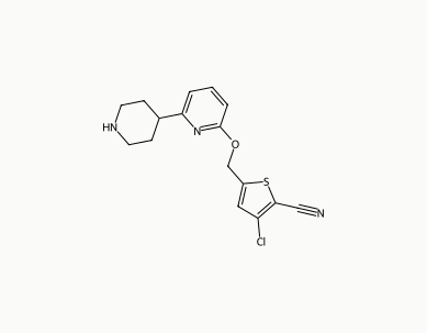 N#Cc1sc(COc2cccc(C3CCNCC3)n2)cc1Cl